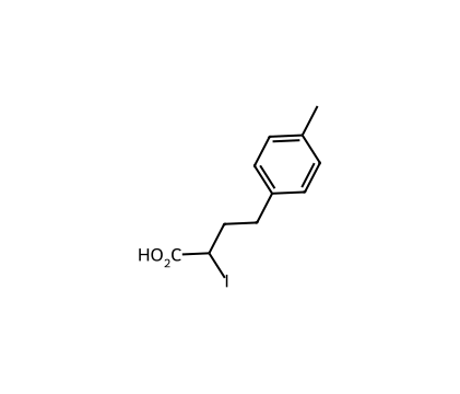 Cc1ccc(CCC(I)C(=O)O)cc1